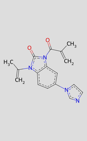 C=C(C)C(=O)n1c(=O)n(C(=C)C)c2ccc(-n3ccnc3)cc21